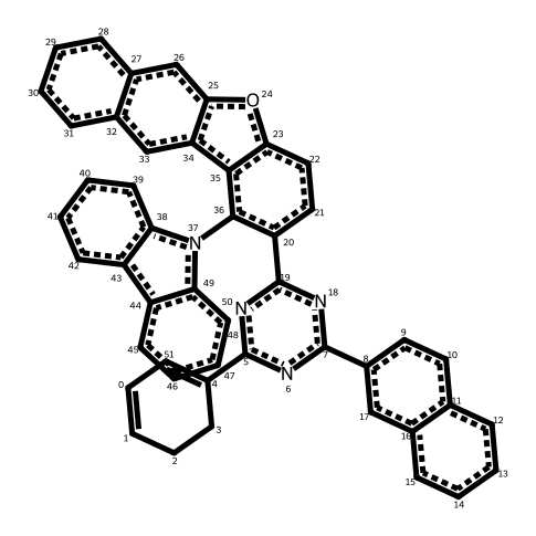 C1=CCCC(c2nc(-c3ccc4ccccc4c3)nc(-c3ccc4oc5cc6ccccc6cc5c4c3-n3c4ccccc4c4ccccc43)n2)=C1